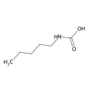 [CH2]CCCCNC(=O)O